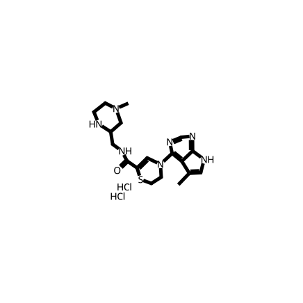 Cc1c[nH]c2ncnc(N3C=C(C(=O)NCC4CN(C)CCN4)SCC3)c12.Cl.Cl